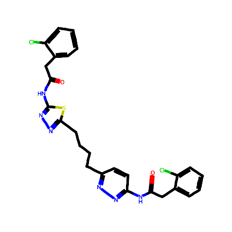 O=C(Cc1ccccc1Cl)Nc1ccc(CCCCc2nnc(NC(=O)Cc3ccccc3Cl)s2)nn1